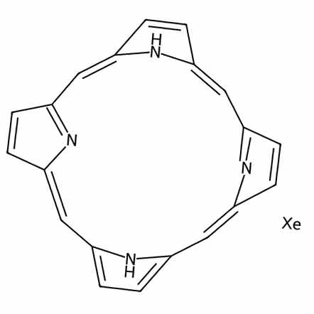 C1=Cc2cc3ccc(cc4nc(cc5ccc(cc1n2)[nH]5)C=C4)[nH]3.[Xe]